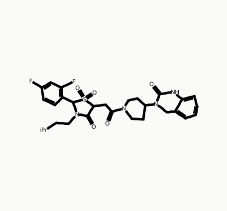 CC(C)CCN1C(=O)C(CC(=O)N2CCC(N3Cc4ccccc4NC3=O)CC2)S(=O)(=O)C1c1ccc(F)cc1F